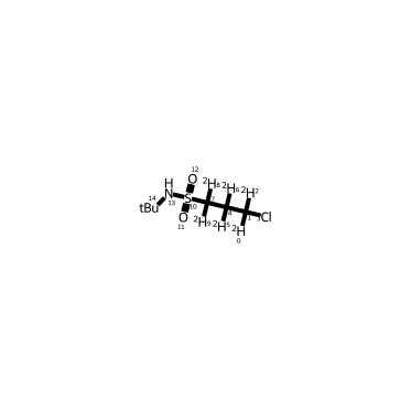 [2H]C([2H])(Cl)C([2H])([2H])C([2H])([2H])S(=O)(=O)NC(C)(C)C